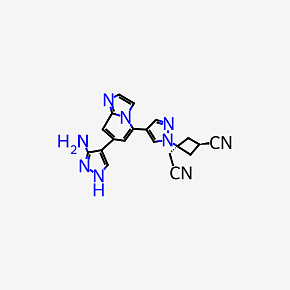 N#CC[C@]1(n2cc(-c3cc(-c4c[nH]nc4N)cc4nccn34)cn2)C[C@@H](C#N)C1